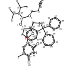 Cc1cn([C@H]2C[C@H](OP(OCCC#N)N(C(C)C)C(C)C)[C@@H](CNC(c3ccccc3)(c3ccccc3)c3ccccc3)O2)c(=O)[nH]c1=O